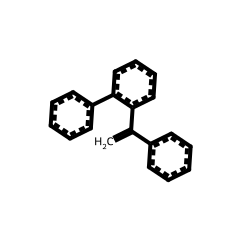 C=C(c1ccccc1)c1ccccc1-c1ccccc1